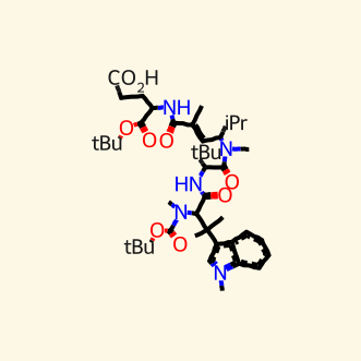 C/C(=C\C(C(C)C)N(C)C(=O)C(NC(=O)C(N(C)C(=O)OC(C)(C)C)C(C)(C)c1cn(C)c2ccccc12)C(C)(C)C)C(=O)NC(CCC(=O)O)C(=O)OC(C)(C)C